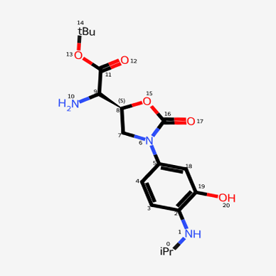 CC(C)Nc1ccc(N2C[C@@H](C(N)C(=O)OC(C)(C)C)OC2=O)cc1O